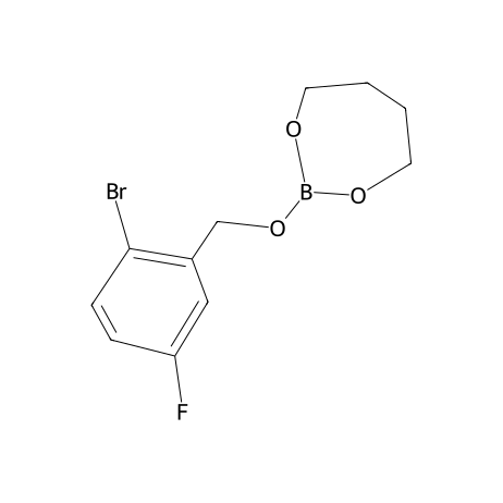 Fc1ccc(Br)c(COB2OCCCCO2)c1